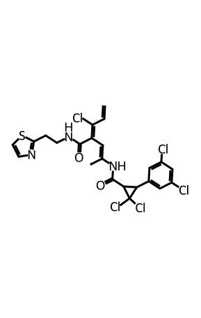 C=C/C(Cl)=C(\C=C(/C)NC(=O)C1C(c2cc(Cl)cc(Cl)c2)C1(Cl)Cl)C(=O)NCCc1nccs1